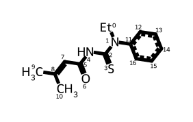 CCN(C(=S)NC(=O)C=C(C)C)c1ccccc1